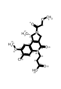 COCC(=O)N1Cc2c(c3cc(OC)c(Cl)cc3n(CCC(=O)O)c2=O)[C@@H]1C